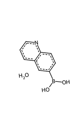 O.OB(O)c1ccc2ncccc2c1